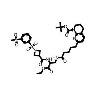 CCOC(=O)C(CNC(=O)CCCCc1ccc2c(n1)N(C(=O)OC(C)(C)C)CCC2)NC(=O)C1CN(S(=O)(=O)c2cccc(S(C)(=O)=O)c2)C1